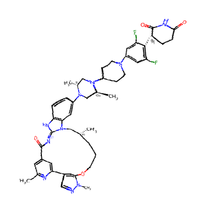 Cc1cc2cc(n1)-c1cnn(C)c1OCCC[C@@H](C)CN1/C(=N/C2=O)Nc2ccc(N3C[C@H](C)N(C4CCN(c5cc(F)c([C@H]6CCC(=O)NC6=O)c(F)c5)CC4)C[C@H]3C)cc21